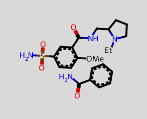 CCN1CCCC1CNC(=O)c1cc(S(N)(=O)=O)ccc1OC.NC(=O)c1ccccc1